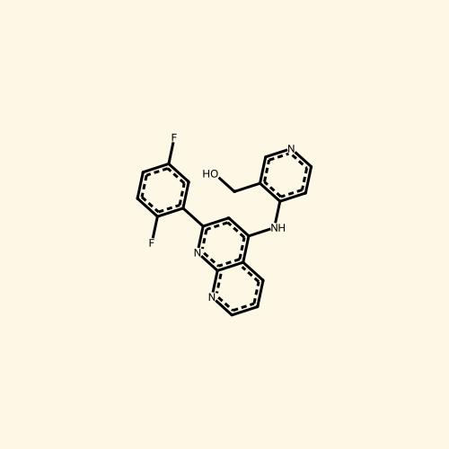 OCc1cnccc1Nc1cc(-c2cc(F)ccc2F)nc2ncccc12